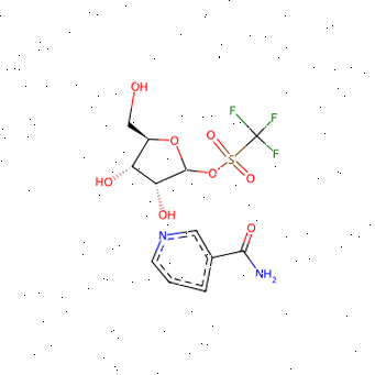 NC(=O)c1cccnc1.O=S(=O)(OC1O[C@H](CO)[C@@H](O)[C@H]1O)C(F)(F)F